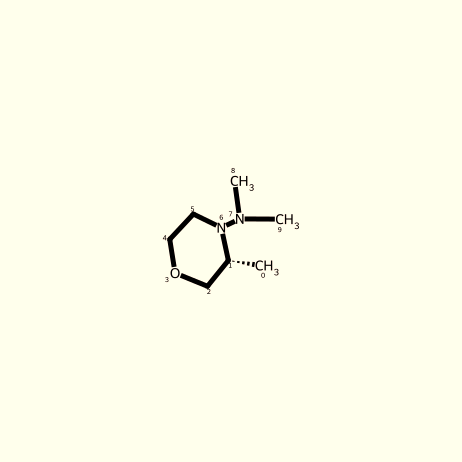 C[C@@H]1COCCN1N(C)C